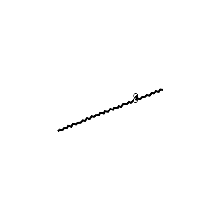 CCCCCCCCCCCCCCCCCCCCCCCCCCCCCCCCCCOC(=O)CCCCCCCCCCC